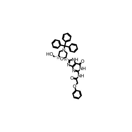 O=C(COc1ccccc1)Nc1nc2nc([C@H]3CN(C(c4ccccc4)(c4ccccc4)c4ccccc4)C[C@@H](CO)O3)[nH]c2c(=O)[nH]1